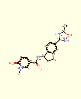 CCC1NC(c2ccc3c(c2)CC[C@H]3NC(=O)c2ccc(=O)n(C)c2)NO1